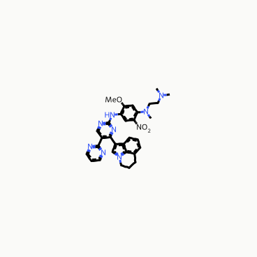 COc1cc(N(C)CCN(C)C)c([N+](=O)[O-])cc1Nc1ncc(-c2ncccn2)c(-c2cn3c4c(cccc24)CCC3)n1